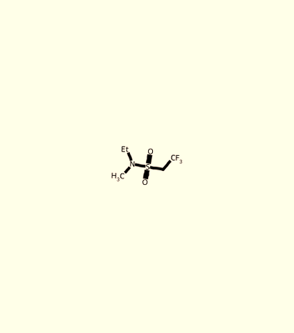 CCN(C)S(=O)(=O)CC(F)(F)F